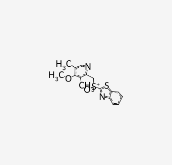 COc1c(C)cnc(C[S+]([O-])c2nc3ccccc3s2)c1C